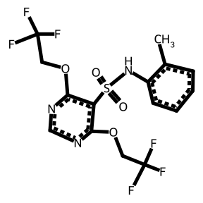 Cc1ccccc1NS(=O)(=O)c1c(OCC(F)(F)F)ncnc1OCC(F)(F)F